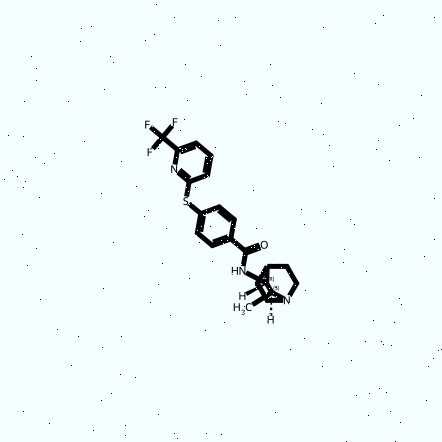 C[C@H]1[C@H](NC(=O)c2ccc(Sc3cccc(C(F)(F)F)n3)cc2)C2CCN1CC2